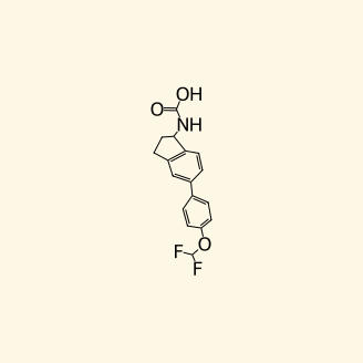 O=C(O)NC1CCc2cc(-c3ccc(OC(F)F)cc3)ccc21